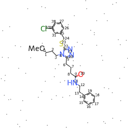 COCCCn1c(CCCC(=O)NCCc2ccccc2)nnc1SCc1cccc(Cl)c1